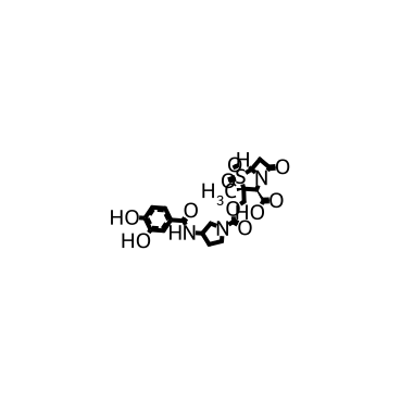 C[C@]1(COC(=O)N2CCC(NC(=O)c3ccc(O)c(O)c3)C2)[C@H](C(=O)O)N2C(=O)C[C@H]2S1(=O)=O